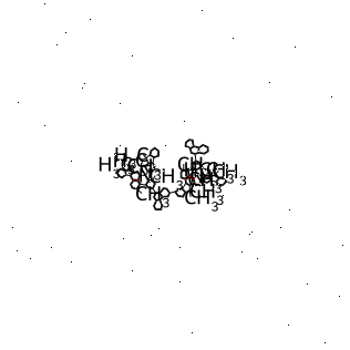 Cc1ccccc1-c1cc(-c2cc3ccccc3c3cc(-c4ccc5c(c4)-c4ccc(N(c6ccc7c(c6)C(C)(C)c6ccccc6-7)c6c(C)cc(-c7cc8ccccc8c8ccccc78)cc6-c6c(C)cccc6C)cc4C5(C)C)ccc23)cc(C)c1N(c1ccc2c(c1)C(C)(C)c1ccccc1-2)c1ccc2c(c1)C(C)(C)c1ccccc1-2